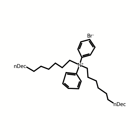 CCCCCCCCCCCCCCCC[N+](CCCCCCCCCCCCCCCC)(c1ccccc1)c1ccccc1.[Br-]